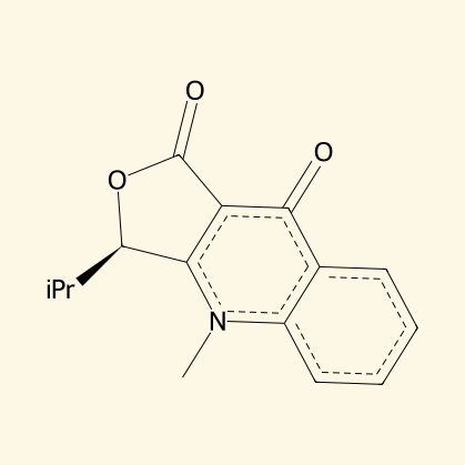 CC(C)[C@H]1OC(=O)c2c1n(C)c1ccccc1c2=O